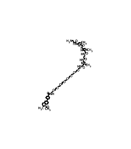 CC(=O)N1c2ccc(-c3ccc(C(=O)NCCOCCOCCOCCOCCOCCOCCOCCOCCNC(=O)c4nc(NC(=O)CCNC(=O)c5cc(NC(=O)c6nc(NC(=O)CCN)cn6C)cn5C)cn4C)cc3)cc2CC[C@@H]1C